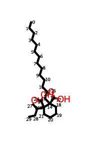 CCCCCCCCCCCCCCC1(C(=O)O)CCCCC1(C(=O)O)C(C)CC